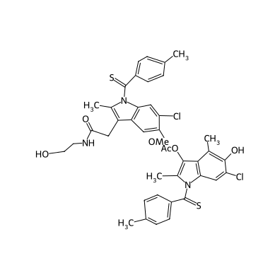 CC(=O)Oc1c(C)n(C(=S)c2ccc(C)cc2)c2cc(Cl)c(O)c(C)c12.COc1cc2c(CC(=O)NCCO)c(C)n(C(=S)c3ccc(C)cc3)c2cc1Cl